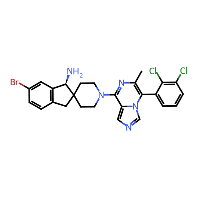 Cc1nc(N2CCC3(CC2)Cc2ccc(Br)cc2[C@H]3N)c2cncn2c1-c1cccc(Cl)c1Cl